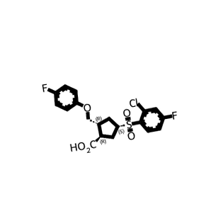 O=C(O)[C@@H]1C[C@@H](S(=O)(=O)c2ccc(F)cc2Cl)C[C@H]1COc1ccc(F)cc1